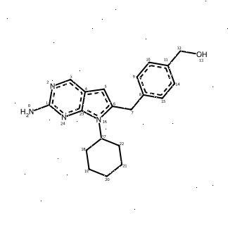 Nc1ncc2cc(Cc3ccc(CO)cc3)n(C3CCCCC3)c2n1